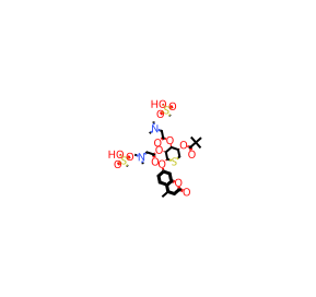 CS(=O)(=O)O.CS(=O)(=O)O.Cc1cc(=O)oc2cc(O[C@@H]3SC[C@@H](OC(=O)C(C)(C)C)[C@H](OC(=O)CN(C)C)[C@H]3OC(=O)CN(C)C)ccc12